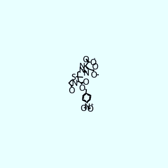 COC(=O)c1nn(CC2(C)SC3CC(=O)N3C2C(=O)OCc2ccc([N+](=O)[O-])cc2)nc1C(=O)OC